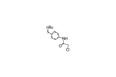 CCCCSc1ccc(NC(=O)CCl)cc1